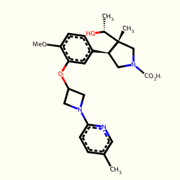 COc1ccc([C@@H]2CN(C(=O)O)C[C@@]2(C)[C@@H](C)O)cc1OC1CN(c2ccc(C)cn2)C1